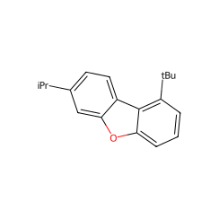 CC(C)c1ccc2c(c1)oc1cccc(C(C)(C)C)c12